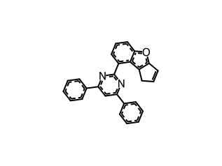 C1=Cc2oc3cccc(-c4nc(-c5ccccc5)cc(-c5ccccc5)n4)c3c2C1